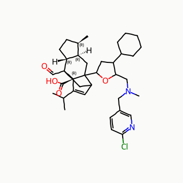 CC(C)C1=CC2CC3(C=O)[C@@H]4CC[C@@H](C)[C@H]4CC2(C2CC(C4CCCCC4)C(CN(C)Cc4ccc(Cl)nc4)O2)[C@]13C(=O)O